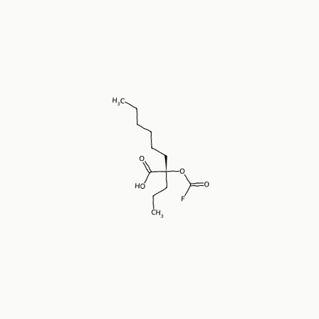 CCCCCC[C@](CCC)(OC(=O)F)C(=O)O